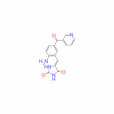 Nc1ccc(C(=O)c2cccnc2)cc1C=C1NC(=O)NC1=O